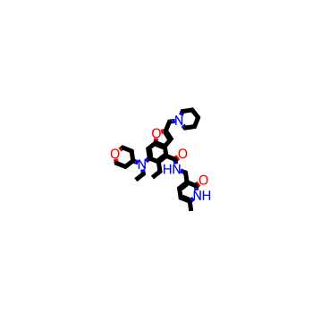 CCc1c(N(CC)C2CCOCC2)cc2oc(CN3CCCCC3)cc2c1C(=O)NCc1ccc(C)[nH]c1=O